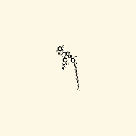 CCc1cc(OCCOCCOCCOCCOCCOC)ncc1-c1cc2c(N[C@H]3CC[C@H](NC(=O)OC(C)(C)C)CC3)c(C(N)=Nc3cc(F)ccc3Cl)cnn2c1